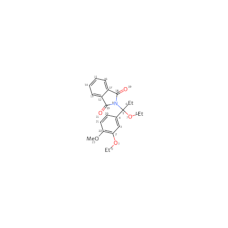 CCOc1cc(C(CC)(OCC)N2C(=O)c3ccccc3C2=O)ccc1OC